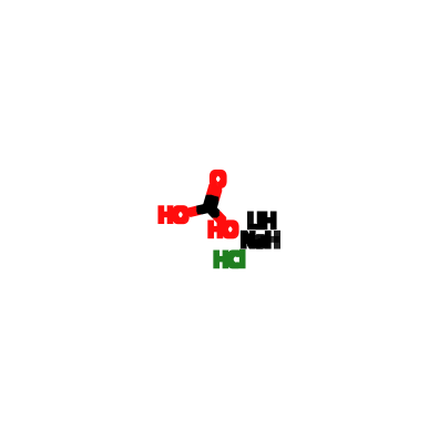 Cl.O=C(O)O.[LiH].[NaH]